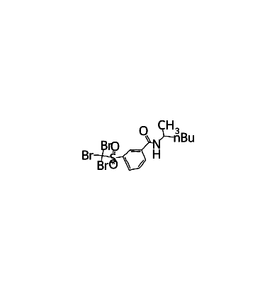 CCCCC(C)NC(=O)c1cccc(S(=O)(=O)C(Br)(Br)Br)c1